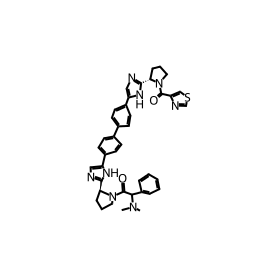 CN(C)C(C(=O)N1CCC[C@H]1c1ncc(-c2ccc(-c3ccc(-c4cnc([C@@H]5CCCN5C(=O)c5cscn5)[nH]4)cc3)cc2)[nH]1)c1ccccc1